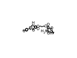 COc1ccc(C2=CN3C(=O)c4cc(OC)c(OCCCCCOc5cc6c(cc5OC)C(=O)N5CC7(CC7)CC5C(O)N6N)cc4NCC3C2)cc1